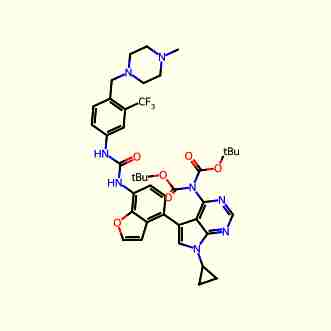 CN1CCN(Cc2ccc(NC(=O)Nc3ccc(-c4cn(C5CC5)c5ncnc(N(C(=O)OC(C)(C)C)C(=O)OC(C)(C)C)c45)c4ccoc34)cc2C(F)(F)F)CC1